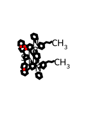 CCCCc1ccc2c(c1)B1c3ccc4c5c3N(c3cc(-c6ccccc6)cc(c31)N2c1ccccc1)c1c(-c2ccccc2)sc(-c2ccccc2)c1N5c1cc(-c2ccccc2)cc2c1B4c1ccc(CCCC)cc1N2c1ccccc1